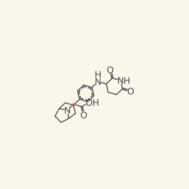 O=C(O)CN1C2CCC1CC(c1ccc(NC3CCC(=O)NC3=O)cc1)C2